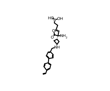 C=Cc1ccc(-c2ccc(CN[C@H]3C[C@@H](C(N)(CCCCB(O)O)C(=O)O)C3)cc2)cc1